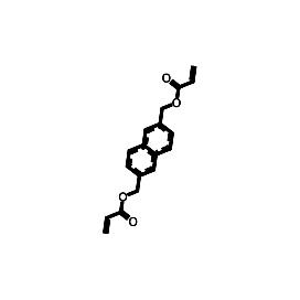 C=CC(=O)OCc1ccc2cc(COC(=O)C=C)ccc2c1